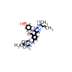 CCC[C@H](C)Nc1ncc2c3ccc(CN4CCN(C(C)(C)C)CC4)cc3c(=O)n(C3CCC(O)CC3)c2n1